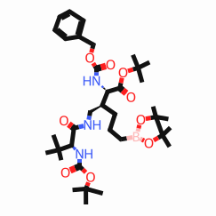 CC(C)(C)OC(=O)N[C@H](C(=O)NC[C@H](CCCB1OC(C)(C)C(C)(C)O1)[C@H](NC(=O)OCc1ccccc1)C(=O)OC(C)(C)C)C(C)(C)C